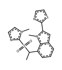 CC(c1cccc2cc(-c3nccs3)n(C)c12)S(=O)(=O)c1nccn1C